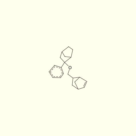 C1=CC2CC1CC2COC1(c2ccccc2)CC2CCC1C2